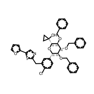 OC1([C@H]2O[C@@H](c3ccc(Cl)c(Cc4ncc(-c5ccco5)s4)c3)[C@H](OCc3ccccc3)[C@@H](OCc3ccccc3)[C@@H]2OCc2ccccc2)CC1